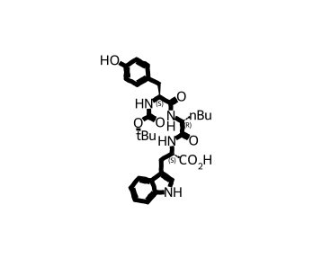 CCCC[C@@H](NC(=O)[C@H](Cc1ccc(O)cc1)NC(=O)OC(C)(C)C)C(=O)N[C@@H](Cc1c[nH]c2ccccc12)C(=O)O